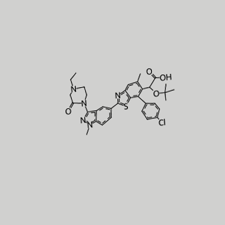 CCN1CCN(c2nn(C)c3ccc(-c4nc5cc(C)c(C(OC(C)(C)C)C(=O)O)c(-c6ccc(Cl)cc6)c5s4)cc23)C(=O)C1